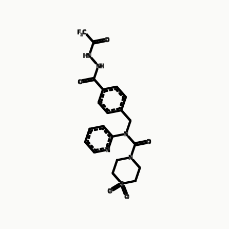 O=C(NNC(=O)C(F)(F)F)c1ccc(CN(C(=O)N2CCS(=O)(=O)CC2)c2ccccn2)cc1